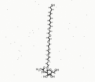 CC(=O)NC1[C@H](OCCOCCOCCOCCOCCOCCOCCCCCCCCCCS)OC(CO)[C@@H](O)[C@@H]1O